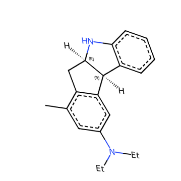 CCN(CC)c1cc(C)c2c(c1)[C@@H]1c3ccccc3N[C@@H]1C2